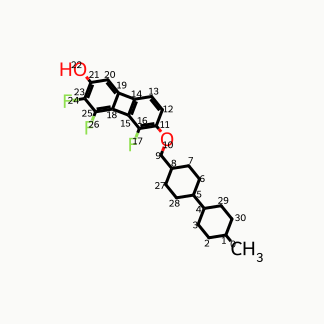 CC1CCC(C2CCC(COc3ccc4c(c3F)-c3c-4cc(O)c(F)c3F)CC2)CC1